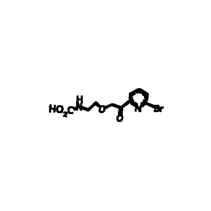 O=C(O)NCCOCC(=O)c1cccc(Br)n1